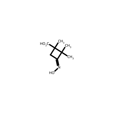 CC1(C)C(=NO)CC1(C)C(=O)O